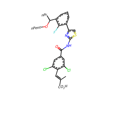 CCCCCOC(CCC)c1cccc(-c2csc(NC(=O)c3cc(Cl)c(C=C(C)C(=O)O)c(Cl)c3)n2)c1F